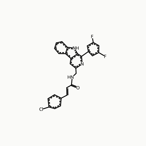 O=C(/C=C/c1ccc(Cl)cc1)NCc1cc2c([nH]c3ccccc32)c(-c2cc(F)cc(F)c2)n1